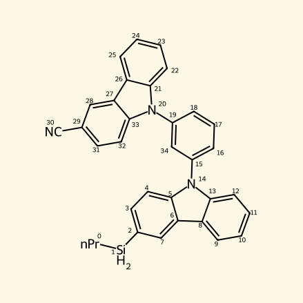 CCC[SiH2]c1ccc2c(c1)c1ccccc1n2-c1cccc(-n2c3ccccc3c3cc(C#N)ccc32)c1